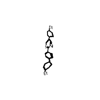 CCC1CCC(c2ccc(-c3ncc(C4CCC(CC)CC4)cn3)cc2)CC1